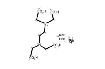 Br.O=C(O)CN(CCN(CC(=O)O)CC(=O)O)CC(=O)O.[NaH].[NaH].[NaH]